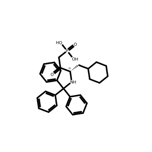 O=C(CP(=O)(O)O)[C@H](CC1CCCCC1)NC(c1ccccc1)(c1ccccc1)c1ccccc1